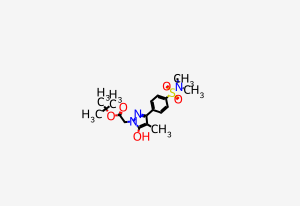 Cc1c(-c2ccc(S(=O)(=O)N(C)C)cc2)nn(CC(=O)OC(C)(C)C)c1O